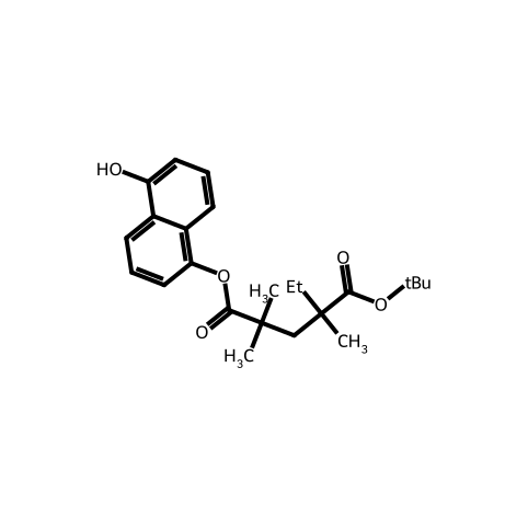 CCC(C)(CC(C)(C)C(=O)Oc1cccc2c(O)cccc12)C(=O)OC(C)(C)C